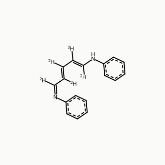 [2H]C(=Nc1ccccc1)C([2H])=C([2H])C([2H])=C([2H])Nc1ccccc1